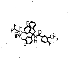 CC(C)Cc1cc([C@@](Cc2ccccc2)(NC(=O)c2ccc(F)c(C(F)(F)F)c2)c2cc(F)cc(OC(F)(F)C(F)F)c2)ccc1F